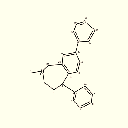 CN1CCC(c2ccccc2)c2ccc(-c3ccncc3)cc2C1